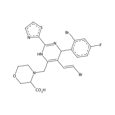 O=C(O)C1COCCN1CC1=C(/C=C/Br)C(c2ccc(F)cc2Br)N=C(c2nccs2)N1